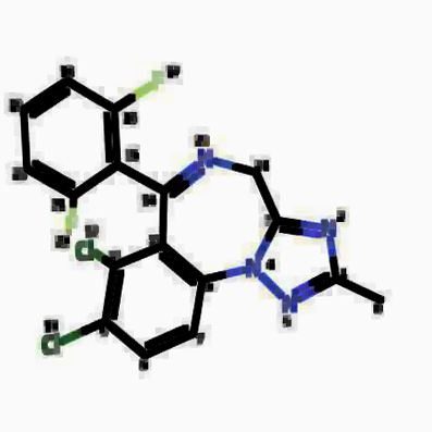 Cc1nc2n(n1)-c1ccc(Cl)c(Cl)c1C(c1c(F)cccc1F)=NC2